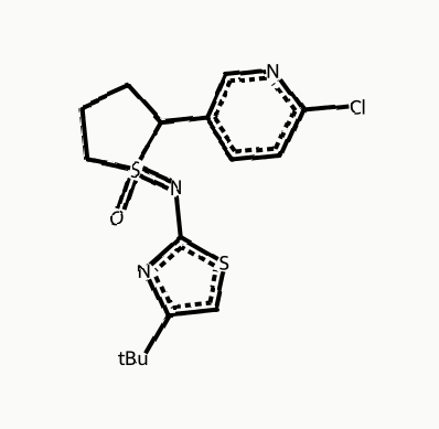 CC(C)(C)c1csc(N=S2(=O)CCCC2c2ccc(Cl)nc2)n1